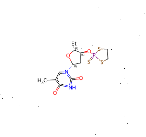 CC[C@H]1O[C@@H](n2cc(C)c(=O)[nH]c2=O)C[C@@H]1OP1(=S)SCCS1